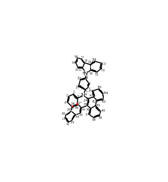 c1ccc(N(c2ccc(-n3c4ccccc4c4ccccc43)cc2)c2c(-c3ccc4ccccc4c3)c3ccccc3c3ccccc23)cc1